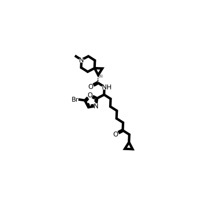 CN1CCC2(CC1)C[C@@H]2C(=O)NC(CCCCCC(=O)CC1CC1)c1ncc(Br)o1